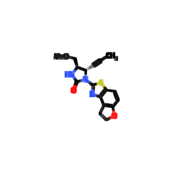 CC#C[C@H]1[C@H](COC)NC(=O)N1c1nc2c3c(ccc2s1)OCC3